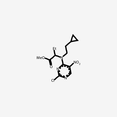 CCC(C(=O)OC)N(CCC1CC1)c1nc(Cl)ncc1[N+](=O)[O-]